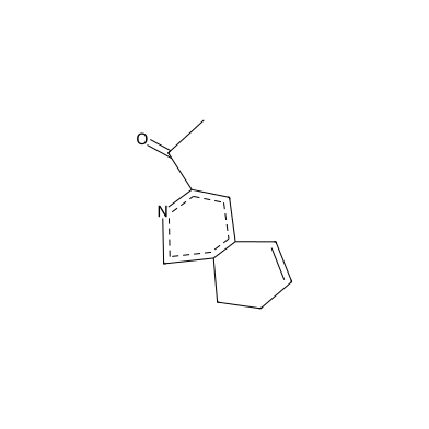 CC(=O)c1cc2c(cn1)CCC=C2